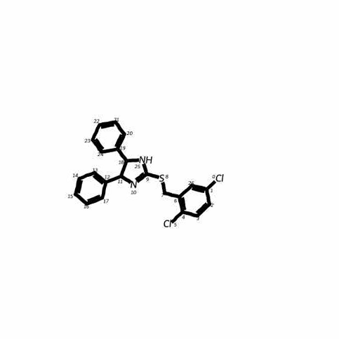 Clc1ccc(Cl)c(CSC2=NC(c3ccccc3)C(c3ccccc3)N2)c1